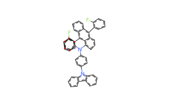 Fc1ccccc1-c1c2ccccc2c(-c2ccccc2F)c2c(N(c3ccccc3)c3ccc(-n4c5ccccc5c5ccccc54)cc3)cccc12